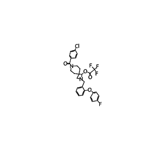 O=C(c1ccc(Cl)cc1)N1CCC2(CC1)CN(Cc1ccccc1Oc1ccc(F)cc1)C2OC(=O)C(F)(F)F